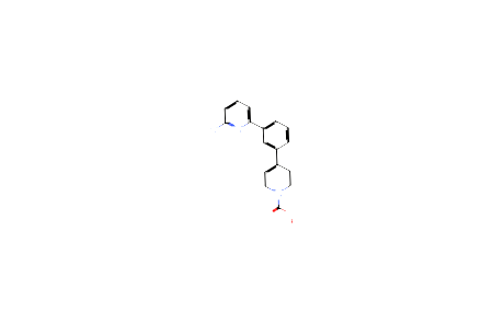 CC(C)(C)OC(=O)N1CC=C(c2cccc(-c3cccc(N)n3)c2)CC1